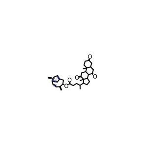 C=C\C=C/C1=C\C=C/C=C\C(=C)C(OC(=O)CCC(C)C2CCC3C4C(=O)CC5CC(=O)CCC5(C)C4CC(=O)C23C)C1